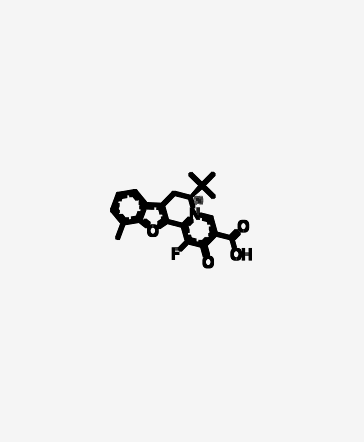 Cc1cccc2c3c(oc12)-c1c(F)c(=O)c(C(=O)O)cn1[C@H](C(C)(C)C)C3